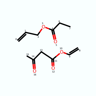 C=CCOC(=O)CC.C=COC(=O)CC(C)=O